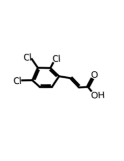 O=C(O)C=Cc1ccc(Cl)c(Cl)c1Cl